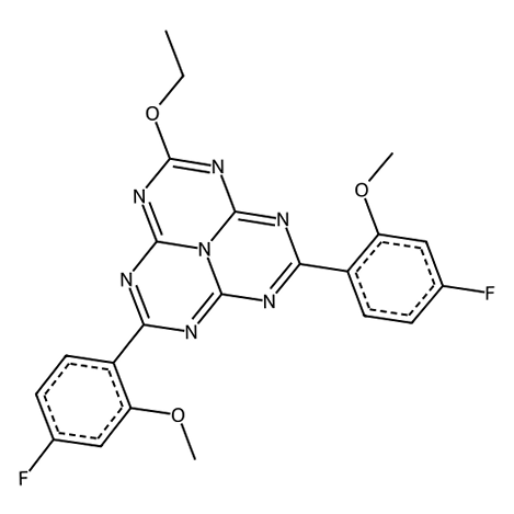 CCOC1=NC2=NC(c3ccc(F)cc3OC)=NC3=NC(c4ccc(F)cc4OC)=NC(=N1)N23